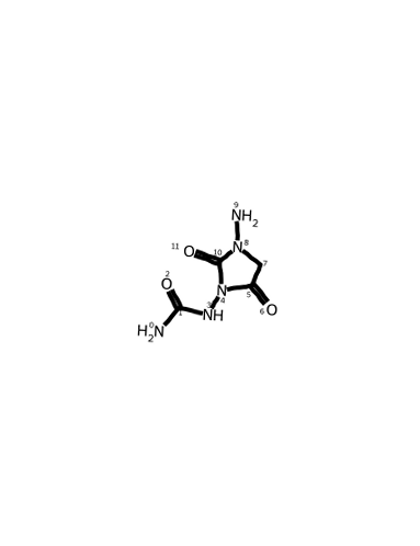 NC(=O)NN1C(=O)CN(N)C1=O